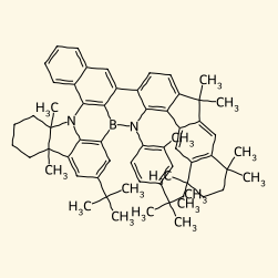 Cc1cc(C(C)(C)C)ccc1N1B2c3cc(C(C)(C)C)cc4c3N(c3c2c(cc2ccccc32)-c2ccc3c(c21)-c1cc2c(cc1C3(C)C)C(C)(C)CCC2(C)C)C1(C)CCCCC41C